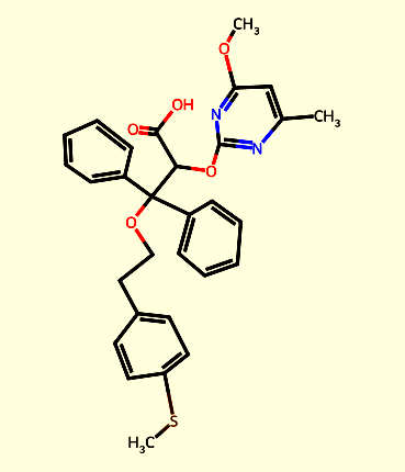 COc1cc(C)nc(OC(C(=O)O)C(OCCc2ccc(SC)cc2)(c2ccccc2)c2ccccc2)n1